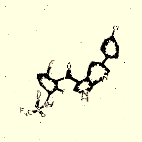 O=C(c1c(F)ccc(NS(=O)(=O)C(F)(F)F)c1F)c1c[nH]c2ncc(-c3ccc(Cl)cc3)cc12